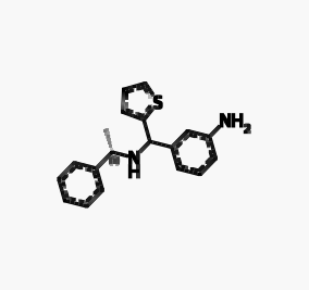 C[C@H](NC(c1cccc(N)c1)c1cccs1)c1ccccc1